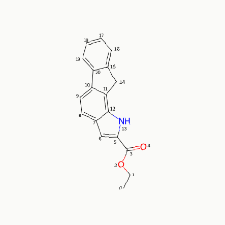 CCOC(=O)c1cc2ccc3c(c2[nH]1)Cc1ccccc1-3